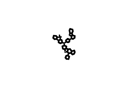 CC1(C)c2ccccc2-c2ccc(N(c3ccc(-c4cccc5c4sc4ccccc45)cc3)c3ccc4oc5c(-c6ccccc6)c6ccccc6cc5c4c3)cc21